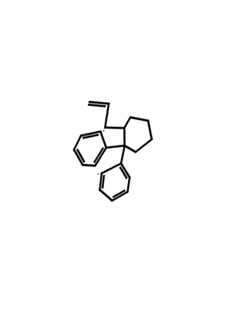 C=CCC1CCCCC1(c1[c]cccc1)c1[c]cccc1